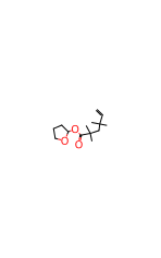 C=CC(C)(C)CC(C)(C)C(=O)OC1CCCO1